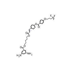 Nc1cc(N)cc(C(=O)OCCCCCOC(=O)/C=C/c2ccc(OC(=O)c3ccc(OCCCC(F)(F)F)cc3)cc2)c1